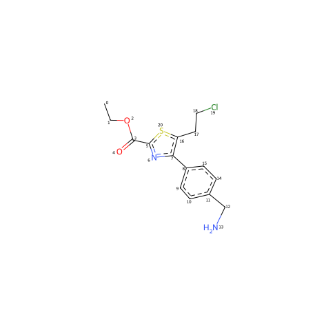 CCOC(=O)c1nc(-c2ccc(CN)cc2)c(CCCl)s1